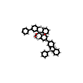 c1ccc(-c2ccc3c(c2)C2(c4ccccc4Oc4cc(-c5ccc6c7ccccc7n(-c7ccccc7)c6c5)ccc42)c2ccccc2O3)cc1